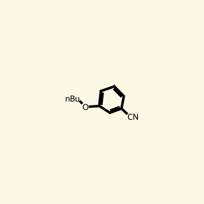 CCCCOc1c[c]cc(C#N)c1